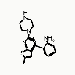 Cc1cc2c(-c3ccccc3N)nc(N3CCNCC3)nc2s1